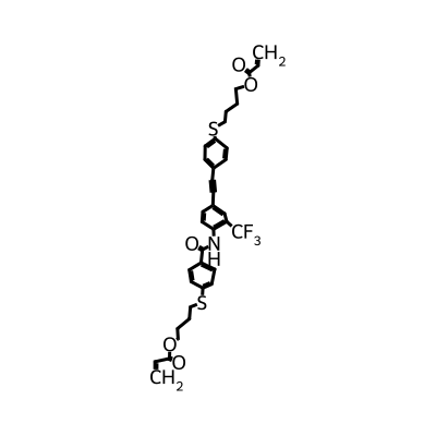 C=CC(=O)OCCCCSc1ccc(C#Cc2ccc(NC(=O)c3ccc(SCCCCOC(=O)C=C)cc3)c(C(F)(F)F)c2)cc1